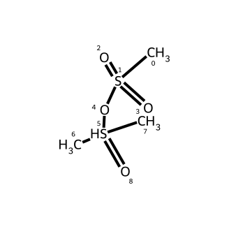 CS(=O)(=O)O[SH](C)(C)=O